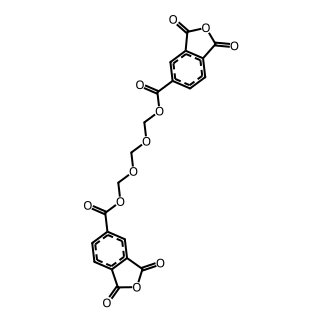 O=C(OCOCOCOC(=O)c1ccc2c(c1)C(=O)OC2=O)c1ccc2c(c1)C(=O)OC2=O